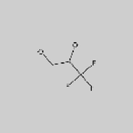 [O]CC([O])C(F)(F)F